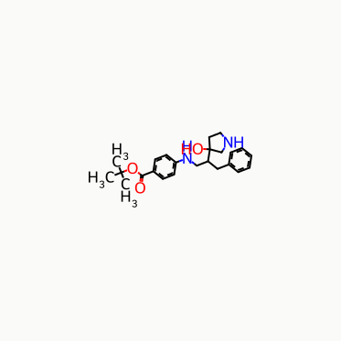 CC(C)(C)OC(=O)c1ccc(NCC(Cc2ccccc2)C2(O)CCNC2)cc1